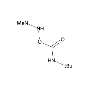 CNNOC(=O)NC(C)(C)C